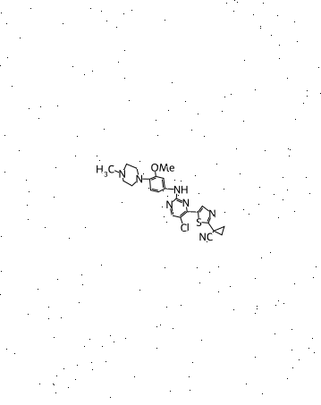 COc1cc(Nc2ncc(Cl)c(-c3cnc(C4(C#N)CC4)s3)n2)ccc1N1CCN(C)CC1